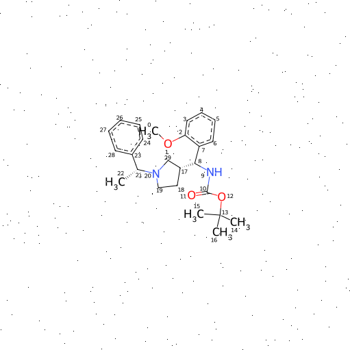 COc1ccccc1C(NC(=O)OC(C)(C)C)[C@@H]1CCN([C@H](C)c2ccccc2)C1